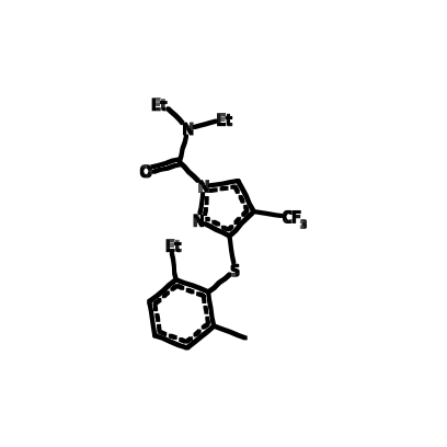 CCc1cccc(C)c1Sc1nn(C(=O)N(CC)CC)cc1C(F)(F)F